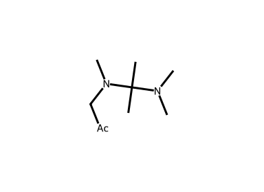 CC(=O)CN(C)C(C)(C)N(C)C